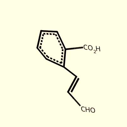 O=CC=Cc1ccccc1C(=O)O